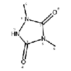 Cn1[nH]c(=O)n(C)c1=O